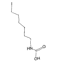 O=C(O)NCCCCCCI